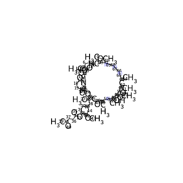 CO[C@H]1C[C@@H]2CC[C@@H](C)[C@@](O)(O2)C(=O)C(=O)N2CCCC[C@H]2C(=O)O[C@H]([C@H](C)C[C@@H]2CC[C@@H](OC(=O)CCC(C)=O)[C@H](OC)C2)CC(=O)[C@H](C)/C=C(\C)[C@@H](O)[C@@H](OC)C(=O)[C@H](C)C[C@H](C)/C=C/C=C/C=C/1C